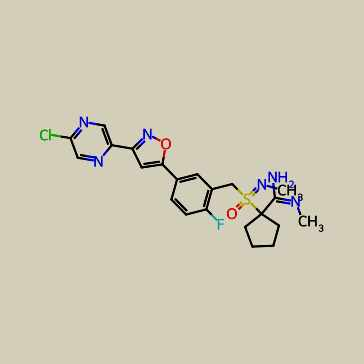 CN=S(=O)(Cc1cc(-c2cc(-c3cnc(Cl)cn3)no2)ccc1F)C1(/C(N)=N\C)CCCC1